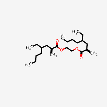 C=C(CC(CC)CCCC)C(=O)OCCOC(=O)C(=C)CC(CC)CCCC